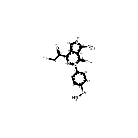 COc1ccc(-n2nc(C(=O)CF)c3csc(N)c3c2=O)cc1